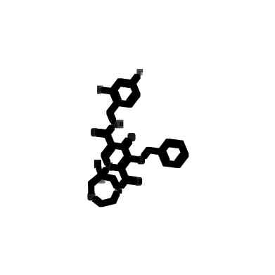 O=C(NCc1ccc(F)cc1F)c1cn2c(c(OCc3ccccc3)c1=O)C(=O)N1CCOC[C@H]2C1